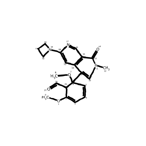 COC1=CC=CC(OC)(c2cn(C)c(=O)c3cnc(N4CCC4)cc23)C1C=O